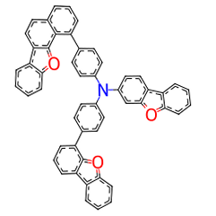 c1cc(-c2ccc(N(c3ccc(-c4cccc5c4oc4ccccc45)cc3)c3ccc4c(c3)oc3ccccc34)cc2)c2c(c1)ccc1c3ccccc3oc12